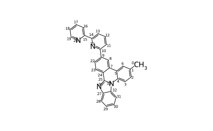 Cc1ccc2c(c1)c1cc(-c3cccc(-c4ccccn4)n3)ccc1c1nc3ccccc3n21